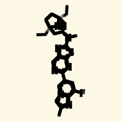 CC[C@]12CC[C@](CC)(C[C@H](N(C)c3nc4cnc(-c5cc(F)c6nc(C)cn6c5)nc4s3)C1)N2